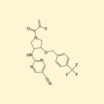 C=C(F)C(=O)N1CC(Nc2ncc(C#N)cn2)C(OCc2ccc(C(F)(F)F)cc2)C1